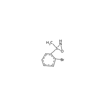 CS1(c2ccccc2Br)NO1